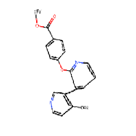 COc1ccncc1-c1cccnc1Oc1ccc(C(=O)OC(C)C)cc1